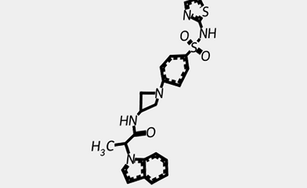 CC(C(=O)NC1CN(c2ccc(S(=O)(=O)Nc3nccs3)cc2)C1)n1ccc2ccccc21